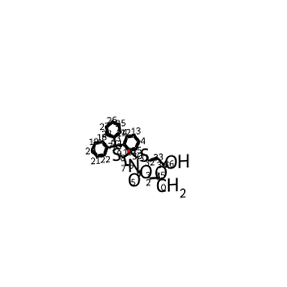 C=CCOC(=O)N1C[C@@H](SC(c2ccccc2)(c2ccccc2)c2ccccc2)C[C@@H]1SC=CC(=O)O